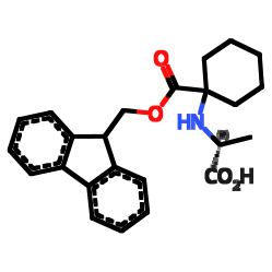 C[C@@H](NC1(C(=O)OCC2c3ccccc3-c3ccccc32)CCCCC1)C(=O)O